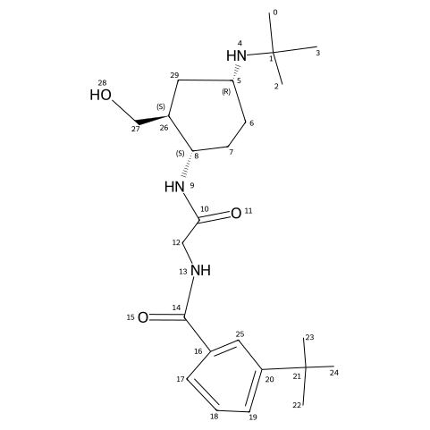 CC(C)(C)N[C@@H]1CC[C@H](NC(=O)CNC(=O)c2cccc(C(C)(C)C)c2)[C@@H](CO)C1